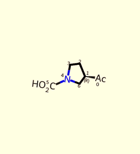 CC(=O)[C@@H]1CCN(C(=O)O)C1